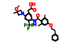 COC1(C)CN(c2cc(C(F)(F)F)c(NC(=O)c3c(C)cc(OCCc4ccccc4)cc3C)cc2CC(=O)O)C1